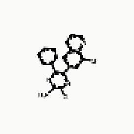 Nc1nc(-c2ccccc2)c(-c2cc(Cl)c3ncccc3c2)nc1Cl